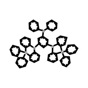 c1ccc(N(c2ccccc2)c2cc(N3c4ccccc4[Si](c4ccccc4)(c4ccccc4)c4ccccc43)cc(N3c4ccccc4[Si](c4ccccc4)(c4ccccc4)c4ccccc43)c2)cc1